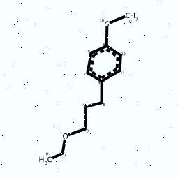 CCOCCCc1ccc(SC)cc1